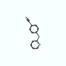 N#Cc1ccc(Cc2ccccn2)cc1